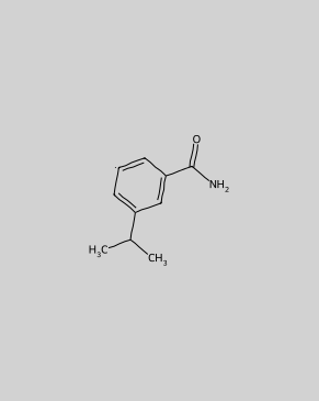 CC(C)c1c[c]cc(C(N)=O)c1